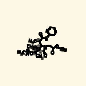 C[C@@H](C(=O)Sc1ccccn1)[C@@H]1[C@@H]([C@@](C)(O[SiH](C)C)C(C)(C)C)C(=O)N1CC(=O)OC(C)(C)C